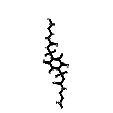 CNCCNC(=O)CC(C)(C)C1=C(C)C(=O)C(C(C)(C)CC(=O)NCCNC)=C(C)C1=O